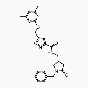 Cc1cc(C)nc(OCc2cc(C(=O)NCC3CC(=O)N(Cc4ccccc4)C3)no2)n1